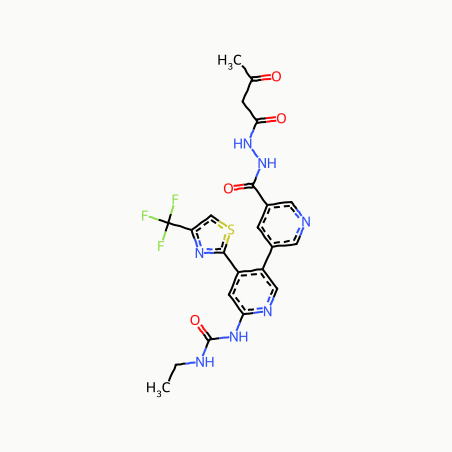 CCNC(=O)Nc1cc(-c2nc(C(F)(F)F)cs2)c(-c2cncc(C(=O)NNC(=O)CC(C)=O)c2)cn1